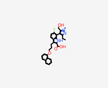 CCc1nn(C)c(CO)c1-c1c(F)ccc2c(CCCOc3cccc4ccccc34)c(C(=O)O)[nH]c12